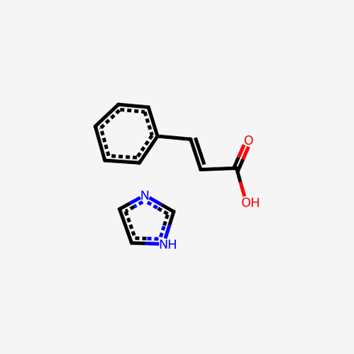 O=C(O)C=Cc1ccccc1.c1c[nH]cn1